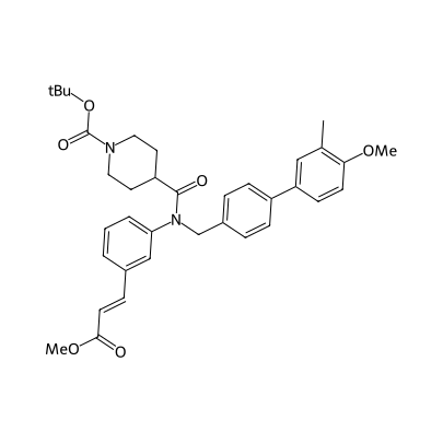 COC(=O)/C=C/c1cccc(N(Cc2ccc(-c3ccc(OC)c(C)c3)cc2)C(=O)C2CCN(C(=O)OC(C)(C)C)CC2)c1